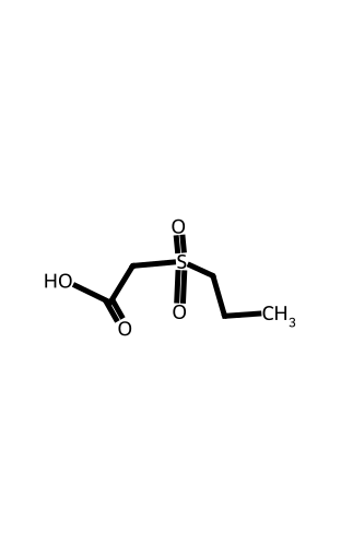 CCCS(=O)(=O)CC(=O)O